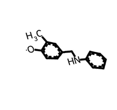 Cc1cc(CNc2ccccc2)ccc1[O]